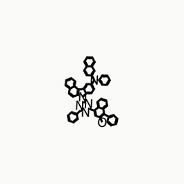 c1ccc(-c2nc(-c3cc4oc5ccccc5c4c4ccccc34)nc(-n3c4ccc(N(c5ccccc5)c5ccc6ccccc6c5)cc4c4c5ccccc5ccc43)n2)cc1